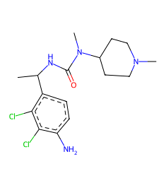 CC(NC(=O)N(C)C1CCN(C)CC1)c1ccc(N)c(Cl)c1Cl